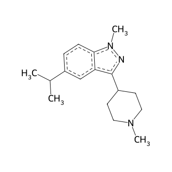 CC(C)c1ccc2c(c1)c(C1CCN(C)CC1)nn2C